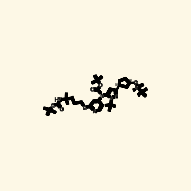 CC(C)(CCCOc1cc(N(C(=O)OC(C)(C)C)c2cc([C@H]3CC[C@@H](O[Si](C)(C)C(C)(C)C)C3)nn2C(C)(C)C)ccn1)NC(=O)OC(C)(C)C